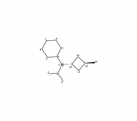 CC(C)N(C1CCCCC1)[C@H]1C[C@H](C)C1